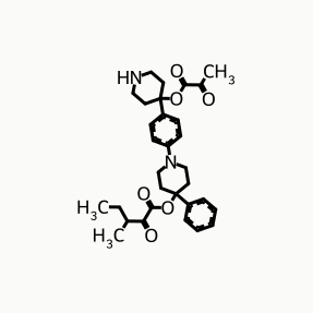 CCC(C)C(=O)C(=O)OC1(c2ccccc2)CCN(c2ccc(C3(OC(=O)C(C)=O)CCNCC3)cc2)CC1